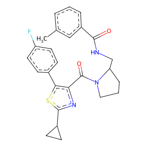 Cc1cccc(C(=O)NCC2CCCN2C(=O)c2nc(C3CC3)sc2-c2ccc(F)cc2)c1